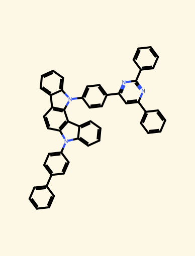 c1ccc(-c2ccc(-n3c4ccccc4c4c3ccc3c5ccccc5n(-c5ccc(-c6cc(-c7ccccc7)nc(-c7ccccc7)n6)cc5)c34)cc2)cc1